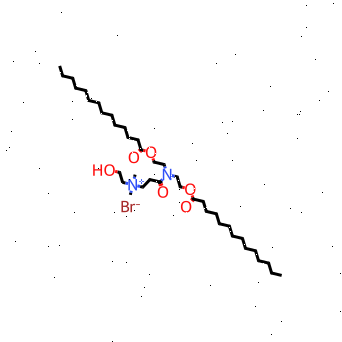 CCCCCCCCCCCCCC(=O)OCCN(CCOC(=O)CCCCCCCCCCCCC)C(=O)CC[N+](C)(C)CCO.[Br-]